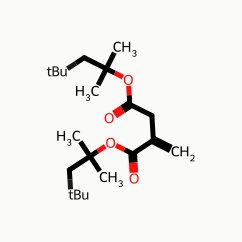 C=C(CC(=O)OC(C)(C)CC(C)(C)C)C(=O)OC(C)(C)CC(C)(C)C